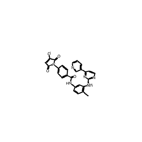 Cc1ccc(NC(=O)c2ccc(N3C(=O)C=C(Cl)C3=O)cc2)cc1Nc1nccc(-c2cccnc2)n1